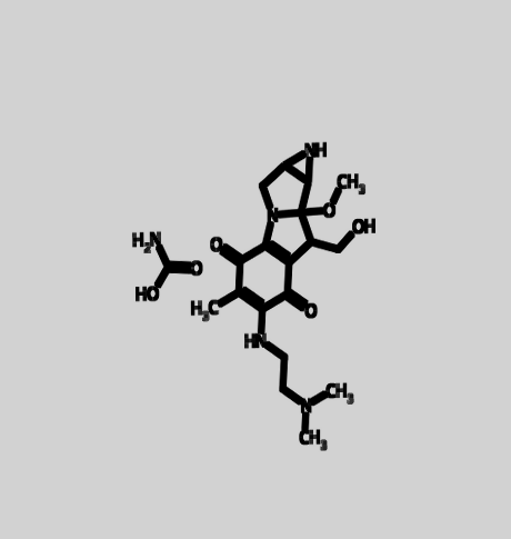 COC12C(CO)C3=C(C(=O)C(C)=C(NCCN(C)C)C3=O)N1CC1NC12.NC(=O)O